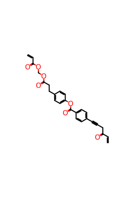 C=CC(=O)CC#Cc1ccc(C(=O)Oc2ccc(CCC(=O)OCOC(=O)C=C)cc2)cc1